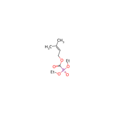 CCOP(=O)(OCC)C(=O)OCC=C(C)C